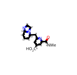 CNC(=O)c1cc(C(=O)O)cc(Cc2cccc3nccn23)n1